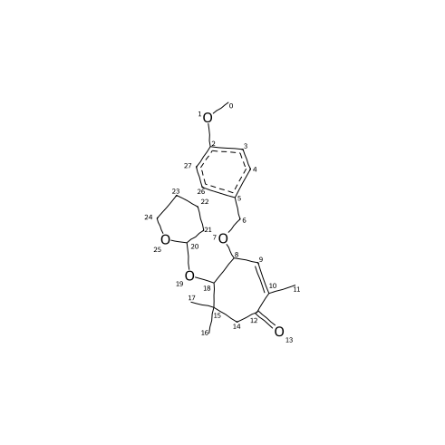 COc1ccc(COC2C=C(C)C(=O)CC(C)(C)C2OC2CCCCO2)cc1